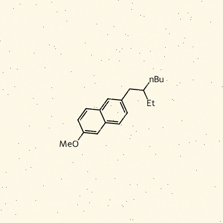 CCCCC(CC)Cc1ccc2cc(OC)ccc2c1